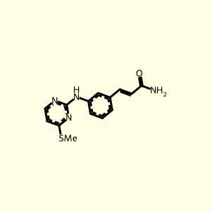 CSc1ccnc(Nc2cccc(C=CC(N)=O)c2)n1